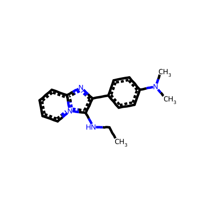 CCNc1c(-c2ccc(N(C)C)cc2)nc2ccccn12